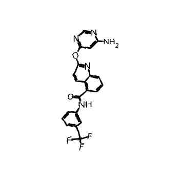 Nc1cc(Oc2ccc3c(C(=O)Nc4cccc(C(F)(F)F)c4)cccc3n2)ncn1